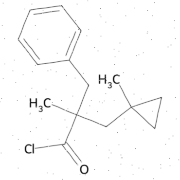 CC1(CC(C)(Cc2ccccc2)C(=O)Cl)CC1